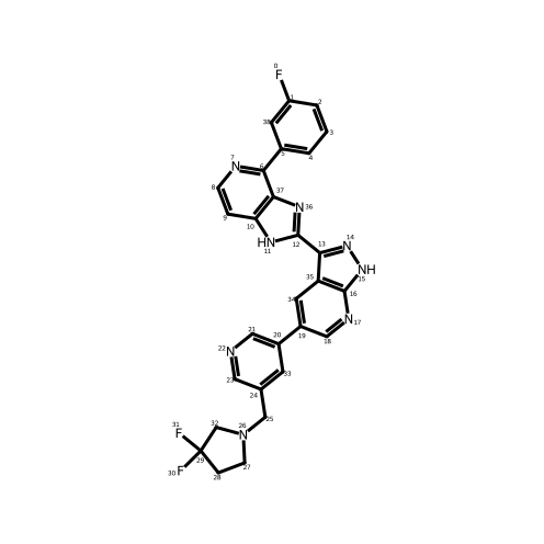 Fc1cccc(-c2nccc3[nH]c(-c4n[nH]c5ncc(-c6cncc(CN7CCC(F)(F)C7)c6)cc45)nc23)c1